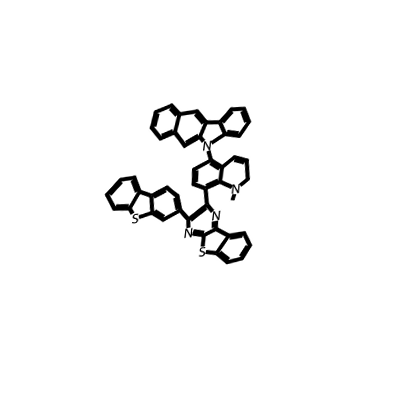 CN1CC=Cc2c(-n3c4ccccc4c4cc5ccccc5cc43)ccc(-c3nc4c(nc3-c3ccc5c(c3)sc3ccccc35)sc3ccccc34)c21